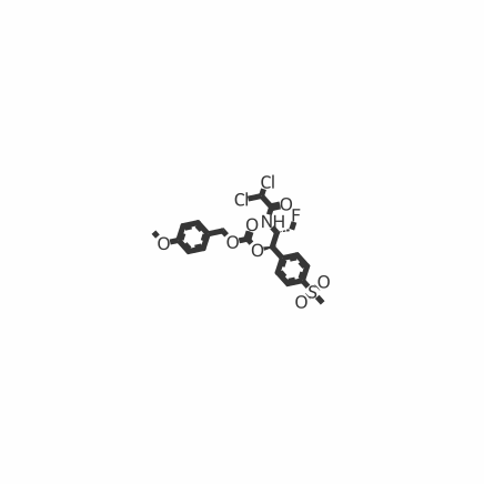 COc1ccc(COC(=O)O[C@H](c2ccc(S(C)(=O)=O)cc2)[C@@H](CF)NC(=O)C(Cl)Cl)cc1